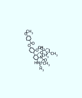 COc1ccc(C(=O)Oc2ccc(-c3ccc4c(c3COC(=O)C3CC=C(C)S3)N(C)C(=O)C(C)(C)N4)c(OC)c2)cc1